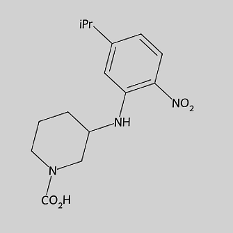 CC(C)c1ccc([N+](=O)[O-])c(NC2CCCN(C(=O)O)C2)c1